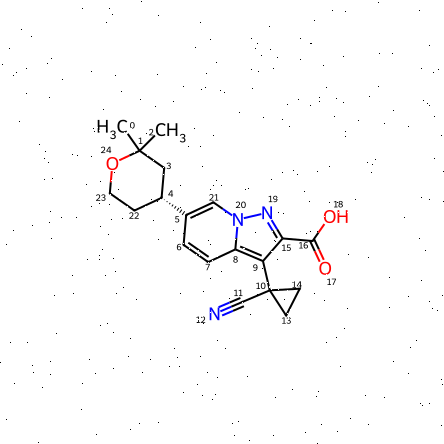 CC1(C)C[C@H](c2ccc3c(C4(C#N)CC4)c(C(=O)O)nn3c2)CCO1